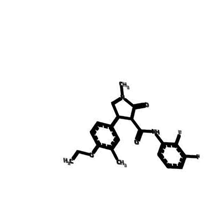 CCOc1ccc(C2CN(C)C(=O)C2C(=O)Nc2cccc(F)c2F)cc1C